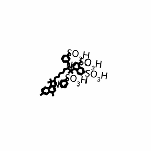 Cc1ccc2c3c(cc(C)c2c1)[N+](c1cccc(S(=O)(=O)O)c1)=C(CCCCCC1N(c2cccc(S(=O)(=O)O)c2)c2cc(S(=O)(=O)O)c4cc(S(=O)(=O)O)ccc4c2C1(C)C)C3(C)C